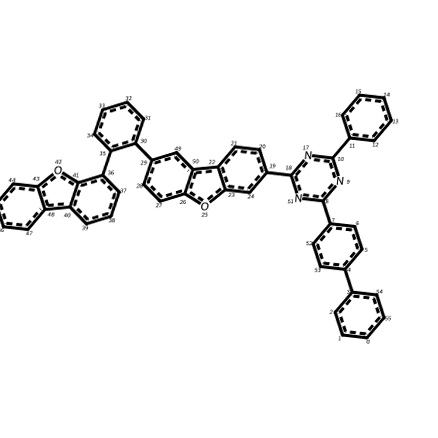 c1ccc(-c2ccc(-c3nc(-c4ccccc4)nc(-c4ccc5c(c4)oc4ccc(-c6ccccc6-c6cccc7c6oc6ccccc67)cc45)n3)cc2)cc1